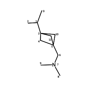 CC(C)C12CC(CN(C)C)(C1)C2